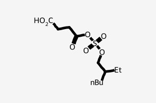 CCCCC(CC)COS(=O)(=O)OC(=O)CCC(=O)O